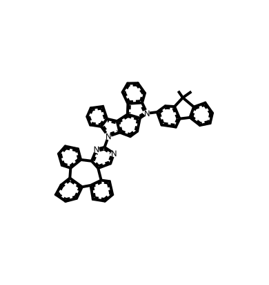 CC1(C)c2ccccc2-c2ccc(-n3c4ccccc4c4c5c6ccccc6n(-c6ncc7c(n6)-c6ccccc6-c6ccccc6-c6ccccc6-7)c5ccc43)cc21